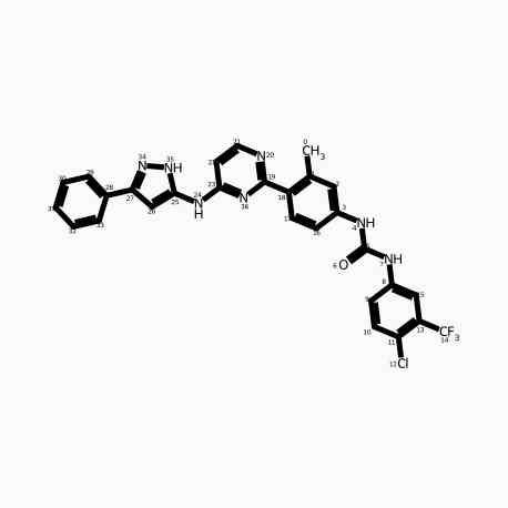 Cc1cc(NC(=O)Nc2ccc(Cl)c(C(F)(F)F)c2)ccc1-c1nccc(Nc2cc(-c3ccccc3)n[nH]2)n1